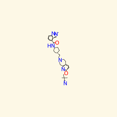 Cn1cc2c(C(=O)N[C@H]3CC[C@H](CCN4CCc5ccc(OCC(C)(C)C#N)nc5CC4)CC3)cccc2n1